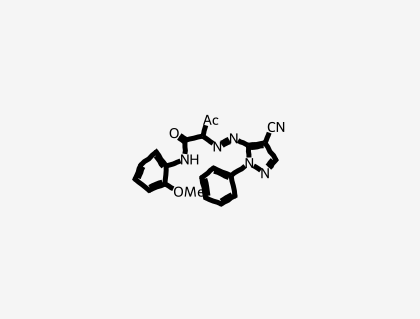 COc1ccccc1NC(=O)C(N=Nc1c(C#N)cnn1-c1ccccc1)C(C)=O